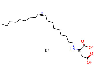 CCCCCCCC/C=C\CCCCCCCCN[C@@H](CC(=O)O)C(=O)[O-].[K+]